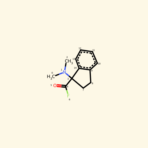 CN(C)C1(C(=O)F)CCc2ccccc21